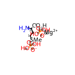 CSCCC(N)C(=O)O.O=P([O-])(O)O.O=P([O-])(O)O.[Mg+2]